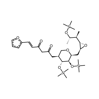 C[C@@H]([C@@H]1O[C@H]1C[C@@H]1OC[C@H](CC(=O)CC(=O)/C=C/c2ccco2)[C@@H](O[Si](C)(C)C)[C@@H]1O[Si](C)(C)C)[C@H](C)O[Si](C)(C)C